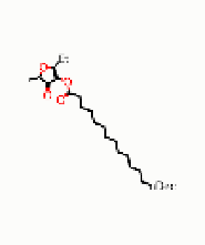 CCCCCCCCCCCCCCCCCCCCCCC(=O)OC1=C(CC)OC(C)C1=O